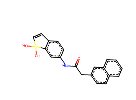 O=C(Cc1ccc2ccccc2c1)Nc1ccc2c(c1)S(O)(O)C=C2